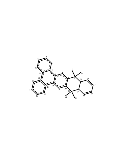 CC1(C)c2cc3c4ccccc4c4ccccc4c3cc2C(C)(C)C2C=CC=CC21